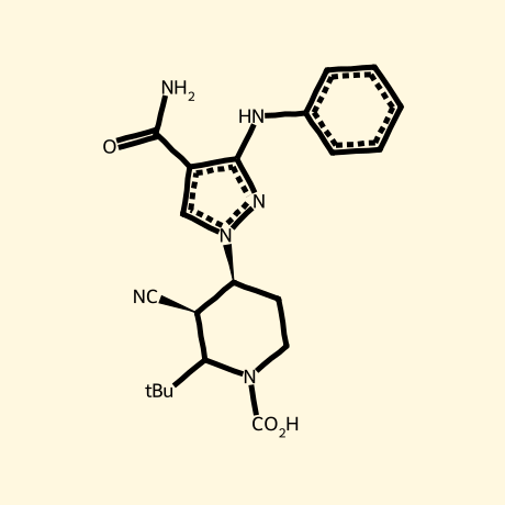 CC(C)(C)C1[C@@H](C#N)[C@@H](n2cc(C(N)=O)c(Nc3ccccc3)n2)CCN1C(=O)O